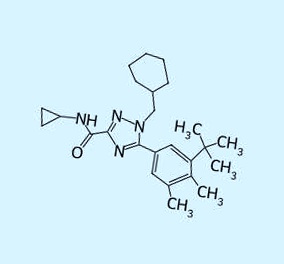 Cc1cc(-c2nc(C(=O)NC3CC3)nn2CC2CCCCC2)cc(C(C)(C)C)c1C